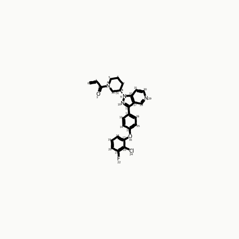 C=CC(=O)N1CCC[C@H](n2nc(-c3ccc(Oc4cccc(F)c4Cl)cc3)c3cnccc32)C1